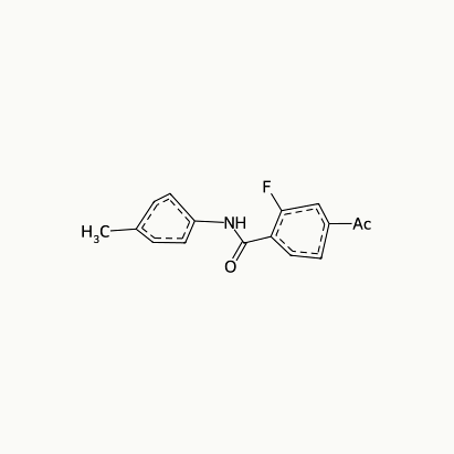 CC(=O)c1ccc(C(=O)Nc2ccc(C)cc2)c(F)c1